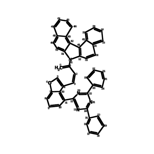 C=C(/C=C\c1coc2cccc(-c3nc(-c4ccccc4)nc(-c4ccccc4)n3)c12)n1c2ccc3ccccc3c2c2c3ccccc3ccc21